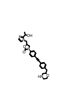 CC(O)c1nccn1CC1CN(c2ccc(C#Cc3ccc(CC4CNCCO4)cc3)cc2)C(=O)O1